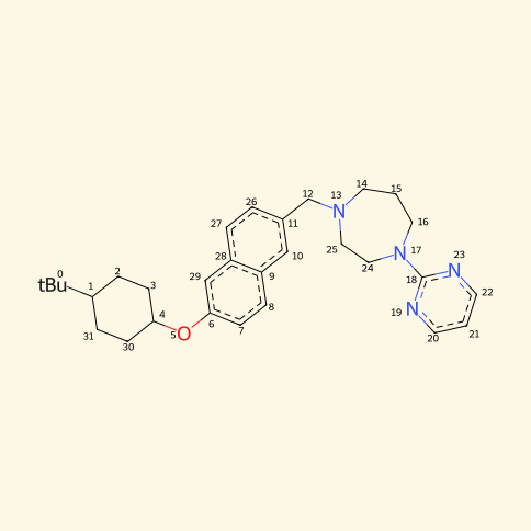 CC(C)(C)C1CCC(Oc2ccc3cc(CN4CCCN(c5ncccn5)CC4)ccc3c2)CC1